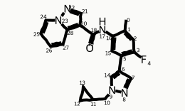 Cc1cc(F)c(-c2cnn(CC3CC3)c2)cc1NC(=O)c1cnn2ccccc12